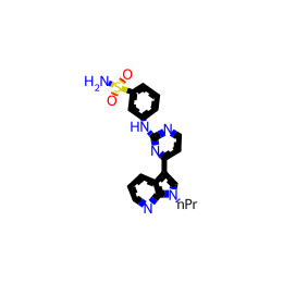 CCCn1cc(-c2ccnc(Nc3cccc(S(N)(=O)=O)c3)n2)c2cccnc21